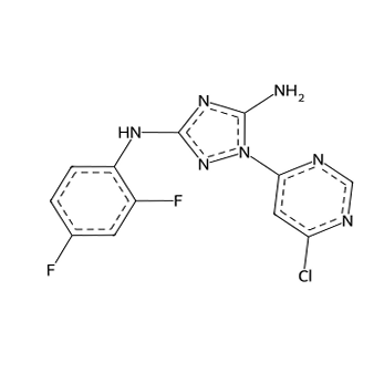 Nc1nc(Nc2ccc(F)cc2F)nn1-c1cc(Cl)ncn1